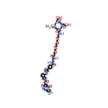 CCN1CCN(CC(=O)O)CCN(CC(=O)O)CCN(CC(=O)NCCOCCOCCOCCOCCC(=O)NCCNC(=O)c2ccc(-c3cn(Cc4cccc5c4CN(C(=O)C[C@@H]4C[C@@H](C(=O)N6CC(F)(F)C[C@H]6C#N)NC4=O)C5)nn3)cc2)CC1